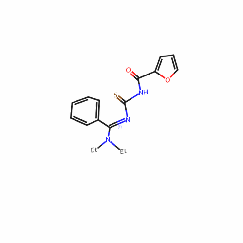 CCN(CC)/C(=N/C(=S)NC(=O)c1ccco1)c1ccccc1